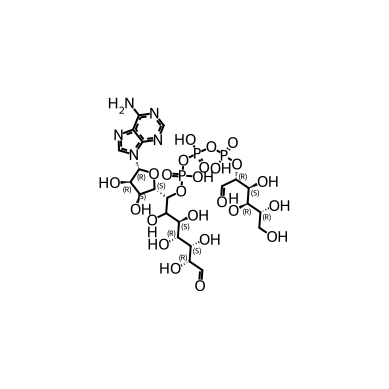 Nc1ncnc2c1ncn2[C@@H]1O[C@H](C(OP(=O)(O)OP(=O)(O)OP(=O)(O)O[C@@H](C=O)[C@@H](O)[C@H](O)[C@H](O)CO)C(O)[C@@H](O)[C@@H](O)[C@H](O)[C@@H](O)C=O)[C@@H](O)[C@H]1O